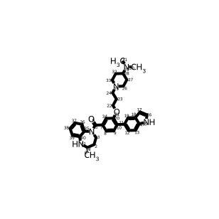 C[C@H]1CCN(C(=O)c2ccc(-c3ccc4[nH]ccc4c3)c(OCCCN3CCC(N(C)C)CC3)c2)c2ccccc2N1